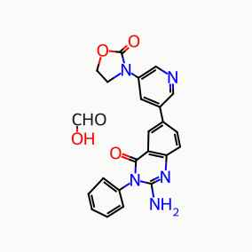 Nc1nc2ccc(-c3cncc(N4CCOC4=O)c3)cc2c(=O)n1-c1ccccc1.O=CO